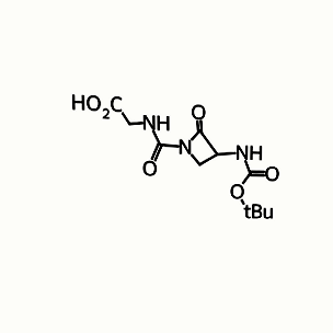 CC(C)(C)OC(=O)NC1CN(C(=O)NCC(=O)O)C1=O